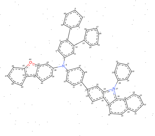 c1ccc(-c2ccc(N(c3ccc(-c4ccc5c6ccc7ccccc7c6n(-c6ccccc6)c5c4)cc3)c3ccc4c(c3)oc3ccccc34)cc2-c2ccccc2)cc1